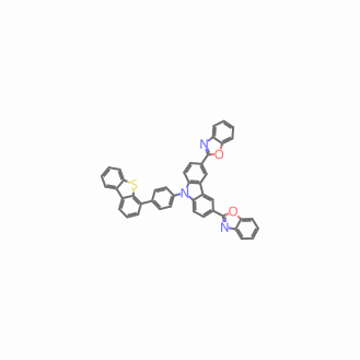 c1ccc2oc(-c3ccc4c(c3)c3cc(-c5nc6ccccc6o5)ccc3n4-c3ccc(-c4cccc5c4sc4ccccc45)cc3)nc2c1